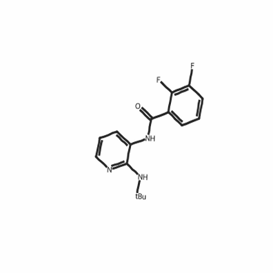 CC(C)(C)Nc1ncccc1NC(=O)c1cccc(F)c1F